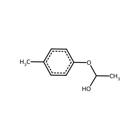 Cc1ccc(OC(C)O)cc1